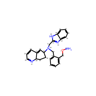 NOCc1ccccc1CN(Cc1nc2ccccc2[nH]1)C1C=C2C=CC=NC2CC1